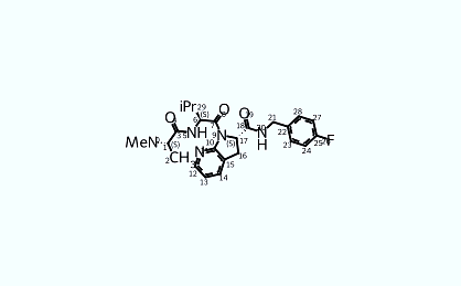 CN[C@@H](C)C(=O)N[C@H](C(=O)N1c2ncccc2C[C@H]1C(=O)NCc1ccc(F)cc1)C(C)C